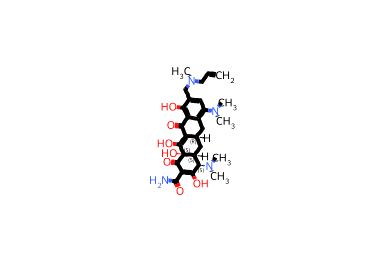 C=CCN(C)Cc1cc(N(C)C)c2c(c1O)C(=O)C1=C(O)[C@]3(O)C(=O)C(C(N)=O)=C(O)[C@@H](N(C)C)[C@@H]3C[C@@H]1C2